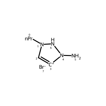 CCCN1C=[C+]N(N)N1.[Br-]